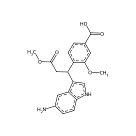 COC(=O)CC(c1ccc(C(=O)O)cc1OC)c1c[nH]c2ccc(N)cc12